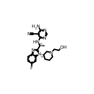 C[C@H](Nc1ncnc(N)c1C#N)c1nc2ccc(F)cc2n1[C@H]1CCCN(CCO)C1